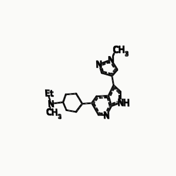 CCN(C)C1CCC(c2cnc3[nH]cc(-c4cnn(C)c4)c3c2)CC1